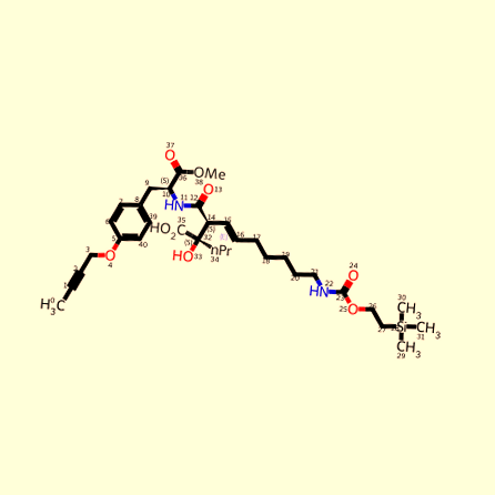 CC#CCOc1ccc(C[C@H](NC(=O)[C@@H](/C=C/CCCCCNC(=O)OCC[Si](C)(C)C)[C@@](O)(CCC)C(=O)O)C(=O)OC)cc1